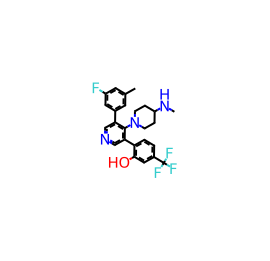 CNC1CCN(c2c(-c3cc(C)cc(F)c3)cncc2-c2ccc(C(F)(F)F)cc2O)CC1